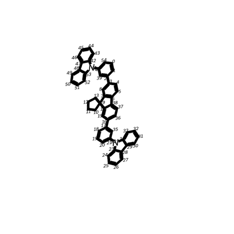 c1cc(-c2ccc3c(c2)C2(CCCC2)c2cc(-c4cccc(-n5c6ccccc6c6ccccc65)c4)ccc2-3)cc(-n2c3ccccc3c3ccccc32)c1